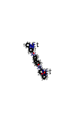 CCn1c2ccccc2c2ccc(/C=C/c3ccc4c(c3)Cc3cc(/C=C/c5ccc6c7ccccc7n(CC)c6c5)ccc3-4)cc21